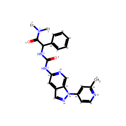 CCN(CC)C(=O)C(NC(=O)Nc1cc2cnn(-c3ccnc(C)c3)c2cn1)c1ccccc1